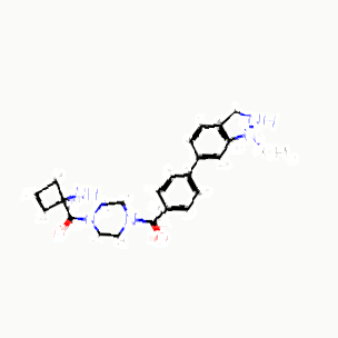 CN1NCc2ccc(-c3ccc(C(=O)N4CCN(C(=O)C5(N)CCC5)CC4)cc3)cc21